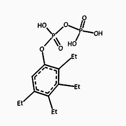 CCc1cc(OP(=O)(O)OP(=O)(O)O)c(CC)c(CC)c1CC